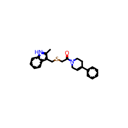 Cc1[nH]c2ccccc2c1CSCC(=O)N1CC=C(c2ccccc2)CC1